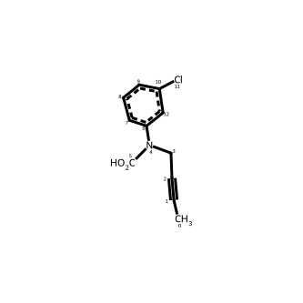 CC#CCN(C(=O)O)c1cccc(Cl)c1